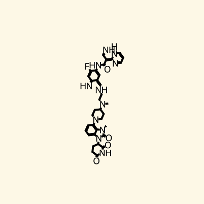 CN(CCN/C=C1/C=C(NC(=O)/C(C=N)=C2\N=CC=CN2)C(F)=CC1=N)C1CCN(c2cccc3c2n(C)c(=O)n3C2CCC(=O)NC2=O)CC1